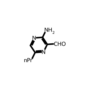 CCCc1cnc(N)c(C=O)n1